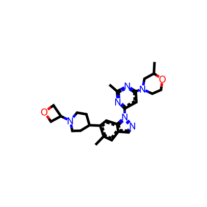 Cc1nc(N2CCOC(C)C2)cc(-n2ncc3cc(C)c(C4CCN(C5COC5)CC4)cc32)n1